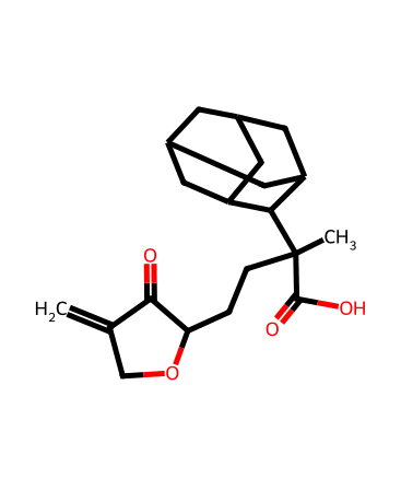 C=C1COC(CCC(C)(C(=O)O)C2C3CC4CC(C3)CC2C4)C1=O